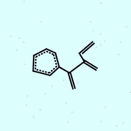 C=CC(=C)C(=C)c1ccccc1